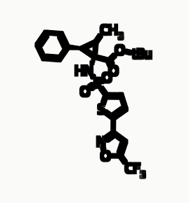 CC1[C@H](c2ccccc2)[C@]1(NS(=O)(=O)c1ccc(-c2cc(C(F)(F)F)on2)s1)C(=O)OC(C)(C)C